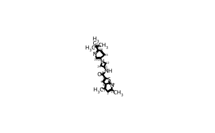 Cc1cc(C)c2cc(C(=O)NC3CN(c4ccc(C(C)(C)C)nc4)C3)sc2n1